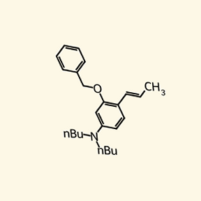 C/C=C/c1ccc(N(CCCC)CCCC)cc1OCc1ccccc1